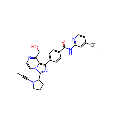 CC#CN1CCCC1c1nc(-c2ccc(C(=O)Nc3cc(C(F)(F)F)ccn3)cc2)c2c(CO)nccn12